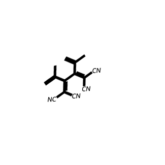 C=C(C)C(=C(C#N)C#N)C(C(=C)C)=C(C#N)C#N